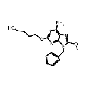 COc1nc2c(N)nc(OCCCCO)nc2n1Cc1ccccc1